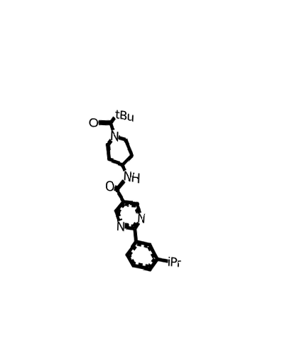 CC(C)c1cccc(-c2ncc(C(=O)NC3CCN(C(=O)C(C)(C)C)CC3)cn2)c1